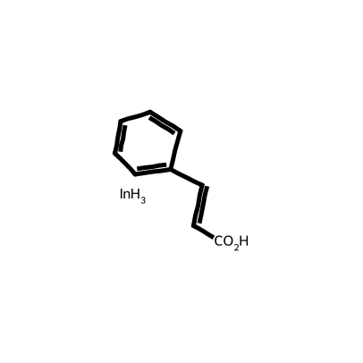 O=C(O)/C=C/c1ccccc1.[InH3]